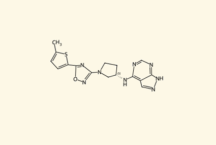 Cc1ccc(-c2nc(N3CC[C@H](Nc4ncnc5[nH]ncc45)C3)no2)s1